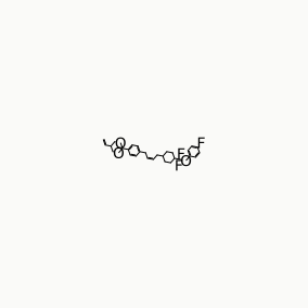 C=CC1COC(c2ccc(C/C=C\CC3CCC(C(F)(F)Oc4ccc(F)cc4)CC3)cc2)OC1